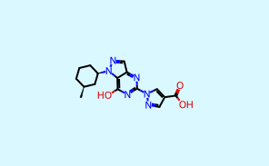 C[C@H]1CCC[C@@H](n2ncc3nc(-n4cc(C(=O)O)cn4)nc(O)c32)C1